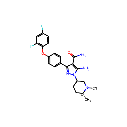 C[C@@H]1CCC(n2nc(-c3ccc(Oc4ccc(F)cc4F)cc3)c(C(N)=O)c2N)CN1C#N